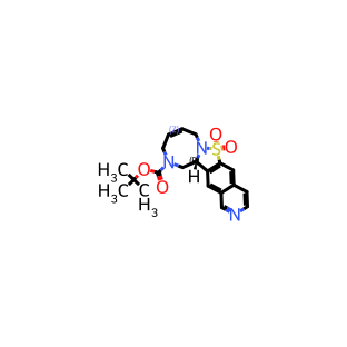 CC(C)(C)OC(=O)N1C/C=C\CN2[C@@H](C1)c1cc3cnccc3cc1S2(=O)=O